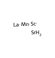 [La].[Mn].[Sc].[SrH2]